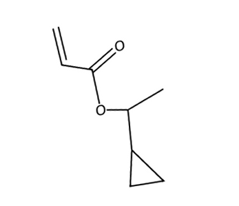 C=CC(=O)OC(C)C1CC1